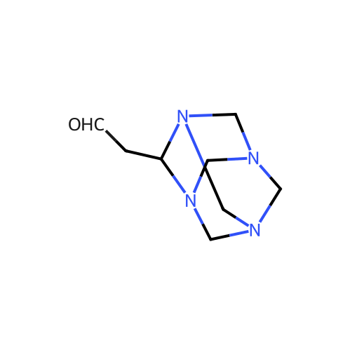 O=CCC1N2CN3CN(C2)CN1C3